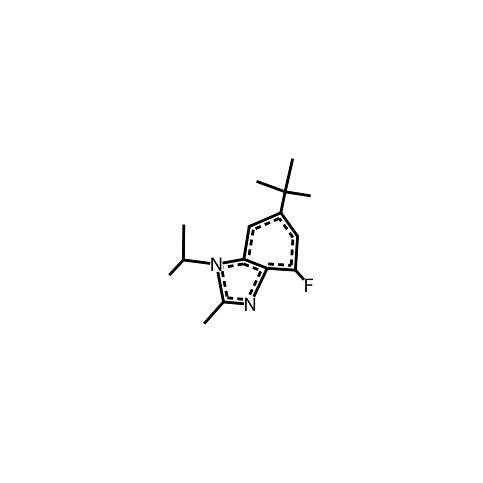 Cc1nc2c(F)cc(C(C)(C)C)cc2n1C(C)C